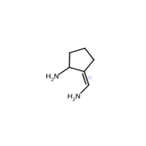 N/C=C1/CCCC1N